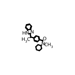 CC(c1ccc(C(=O)N(C)C2CCCCC2)cc1)c1nc2ccccc2[nH]1